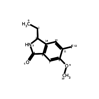 CCC1NC(=O)c2cc(OC)c(F)cc21